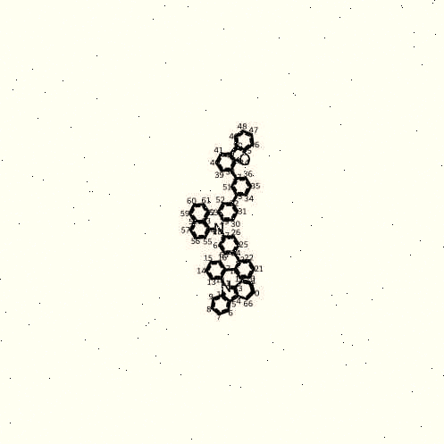 C1=C=Cc2c(c3ccccc3n2-c2ccccc2-c2ccccc2-c2ccc(N(c3ccc(-c4cccc(-c5cccc6c5oc5ccccc56)c4)cc3)c3cccc4ccccc34)cc2)C=1